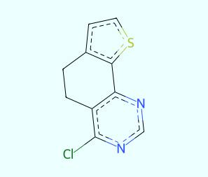 Clc1ncnc2c1CCc1ccsc1-2